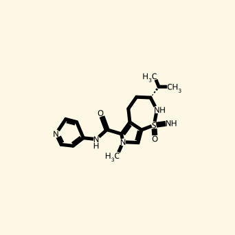 CC(C)[C@H]1CCc2c(cn(C)c2C(=O)Nc2ccncc2)S(=N)(=O)N1